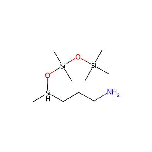 C[SiH](CCCN)O[Si](C)(C)O[Si](C)(C)C